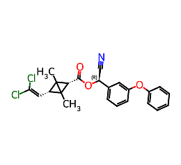 CC12[C@H](C=C(Cl)Cl)C1(C)[C@@H]2C(=O)O[C@@H](C#N)c1cccc(Oc2ccccc2)c1